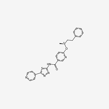 C[C@@H](CCc1ccccc1)Oc1ccc(C(=O)Nc2nnc(-c3ccncc3)s2)cn1